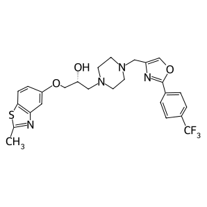 Cc1nc2cc(OC[C@H](O)CN3CCN(Cc4coc(-c5ccc(C(F)(F)F)cc5)n4)CC3)ccc2s1